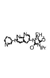 CC(C)n1c(=O)n(C)n(-c2cnc3nn(-c4cccnc4)cc3c2)c1=O